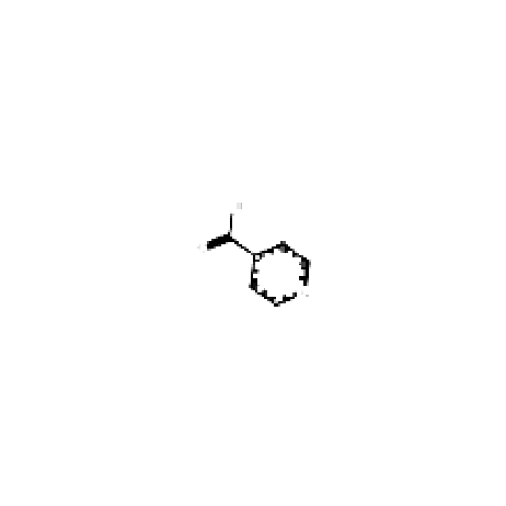 OC(=S)c1ccncc1